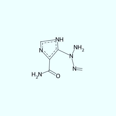 C=NN(N)c1[nH]cnc1C(N)=O